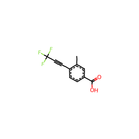 Cc1cc(C(=O)O)ccc1C#CC(F)(F)F